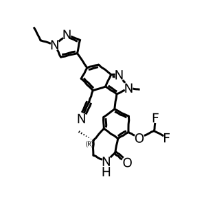 CCn1cc(-c2cc(C#N)c3c(-c4cc(OC(F)F)c5c(c4)[C@@H](C)CNC5=O)n(C)nc3c2)cn1